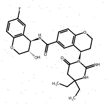 CCC1(CC)CC(=O)N([C@@H]2CCOc3ccc(C(=O)N[C@@H]4c5cc(F)ccc5OC[C@H]4O)cc32)C(=N)N1